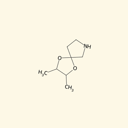 CC1OC2(CCNC2)OC1C